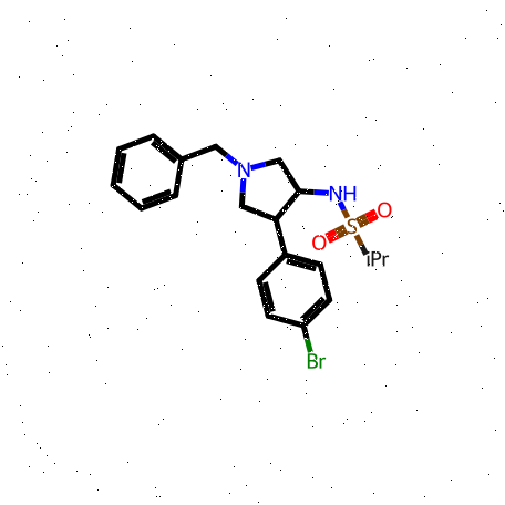 CC(C)S(=O)(=O)NC1CN(Cc2ccccc2)CC1c1ccc(Br)cc1